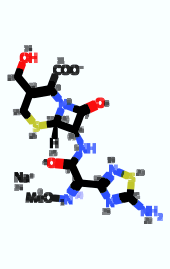 CO/N=C(\C(=O)N[C@@H]1C(=O)N2C(C(=O)[O-])=C(CO)CS[C@@H]12)c1nsc(N)n1.[Na+]